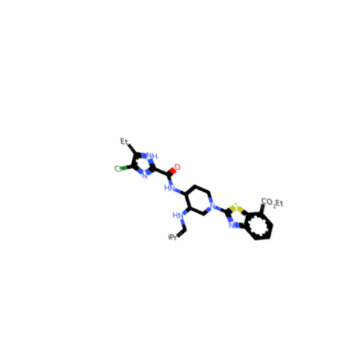 CCOC(=O)c1cccc2nc(N3CCC(NC(=O)c4nc(Cl)c(CC)[nH]4)C(NCC(C)C)C3)sc12